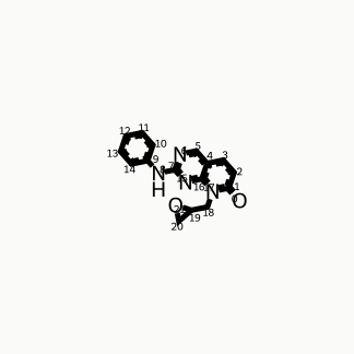 O=c1ccc2cnc(Nc3ccccc3)nc2n1CC1CO1